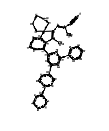 CC1=C(/C=C(\C)C#N)C2(CCCCC2)c2cccc(-c3cc(-c4ccc(-c5ccccc5)cc4)nc(-c4ccccc4)n3)c21